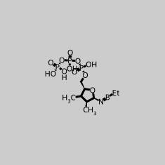 CC/B=N/[C@@H]1O[C@H](COP(=O)(O)OP(=O)(O)OP(=O)(O)O)C(C)[C@@H]1C